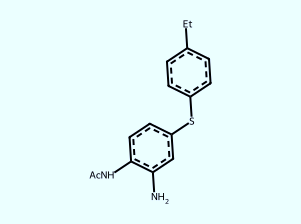 CCc1ccc(Sc2ccc(NC(C)=O)c(N)c2)cc1